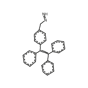 N=NCc1ccc(C(=C(c2ccccc2)c2ccccc2)c2ccccc2)cc1